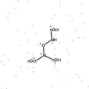 CCCCCCC[CH2][AlH][O][Al]([CH2]CCCCCCC)[CH2]CCCCCCC